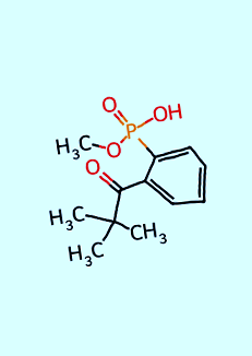 COP(=O)(O)c1ccccc1C(=O)C(C)(C)C